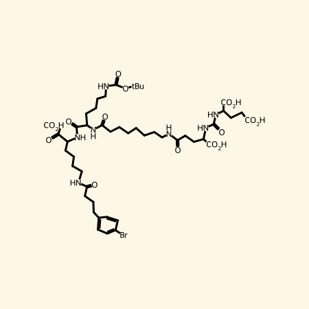 CC(C)(C)OC(=O)NCCCCC(NC(=O)CCCCCCCNC(=O)CCC(NC(=O)NC(CCC(=O)O)C(=O)O)C(=O)O)C(=O)NC(CCCCNC(=O)CCCc1ccc(Br)cc1)C(=O)C(=O)O